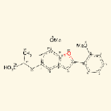 COc1ccccc1-c1cc2cc(CC(C)C(=O)O)cc(OC)c2o1